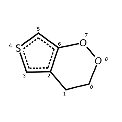 [CH]1Cc2cscc2OO1